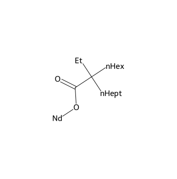 CCCCCCCC(CC)(CCCCCC)C(=O)[O][Nd]